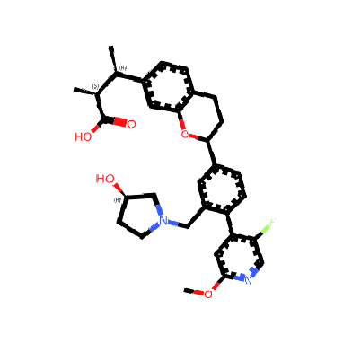 COc1cc(-c2ccc(C3CCc4ccc([C@H](C)[C@H](C)C(=O)O)cc4O3)cc2CN2CC[C@@H](O)C2)c(F)cn1